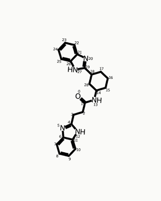 O=C(CCc1nc2ccccc2[nH]1)NC1CCCC(c2nc3ccccc3[nH]2)C1